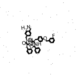 NCc1ccc(CNC(=O)[C@H](Cc2ccccc2)NC(=O)[C@@H](Cc2ccc(OCc3cccc(F)c3)cc2)NC(=O)c2ccccc2)cc1